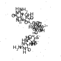 Nc1nc2c(c(=O)[nH]1)N[C@H]1C([S-])=C([S-])[C@@H](COP(=O)(O)OP(=O)(O)OC[C@H]3O[C@@H](n4cnc5c(=O)[nH]c(N)nc54)[C@H](O)[C@@H]3O)O[C@H]1N2.[O]=[Mo+2]=[O]